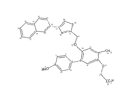 COc1ccc(-c2cc(OCC(=O)O)c(C)cc2OCc2nc(-c3ccc4ccccc4c3)cs2)cc1